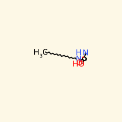 CCCCCCCCCCCCCCCCCCNC(=O)c1cc(C#N)ccc1CO